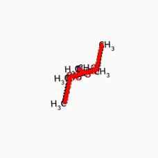 CCCCCCCCCCCCCCSCC(C)C(=O)OCCOC(=O)CCN(CCC(=O)OCCOC(=O)C(C)CSCCCCCCCCCCCCCC)CCN(C)C